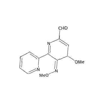 CON=C1C(c2ccccn2)=NC(C=O)=CC1OC